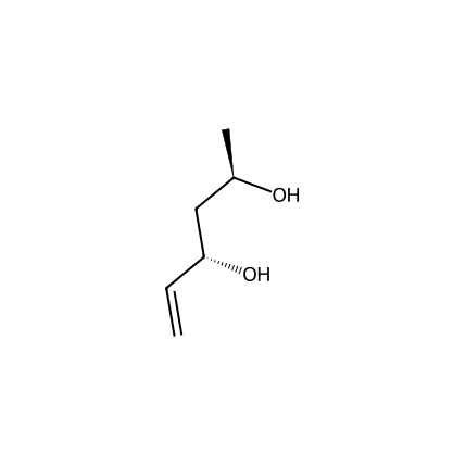 C=C[C@@H](O)C[C@@H](C)O